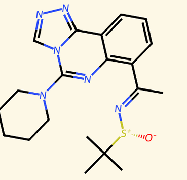 CC(=N[S@+]([O-])C(C)(C)C)c1cccc2c1nc(N1CCCCC1)n1cnnc21